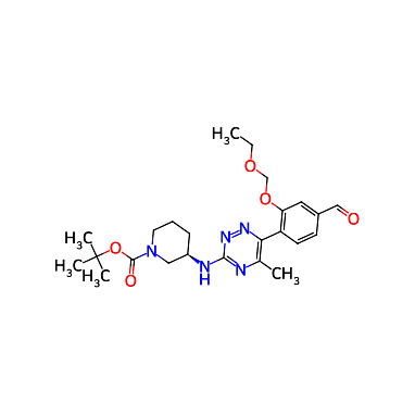 CCOCOc1cc(C=O)ccc1-c1nnc(N[C@@H]2CCCN(C(=O)OC(C)(C)C)C2)nc1C